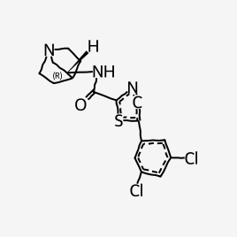 O=C(N[C@H]1CN2CCC1CC2)c1ncc(-c2cc(Cl)cc(Cl)c2)s1